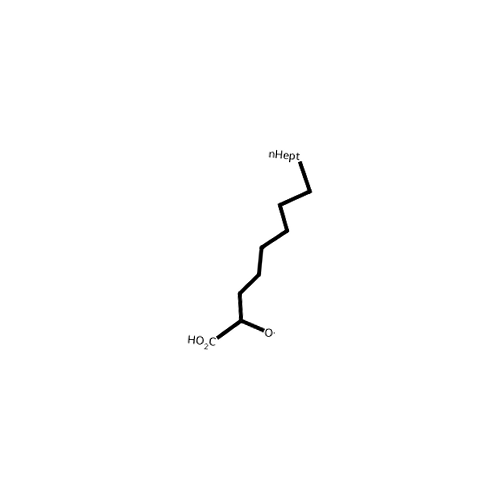 CCCCCCCCCCCCCC([O])C(=O)O